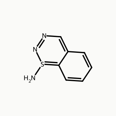 NS1=c2ccccc2=CN=N1